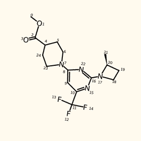 COC(=O)C1CCN(c2cc(C(F)(F)F)nc(N3CC[C@@H]3C)n2)CC1